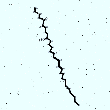 CCCCCCCCCCCCCCCCCCCC(O)CCCCC(O)CCCC